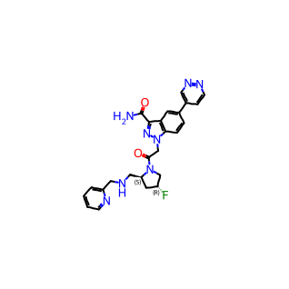 NC(=O)c1nn(CC(=O)N2C[C@H](F)C[C@H]2CNCc2ccccn2)c2ccc(-c3ccnnc3)cc12